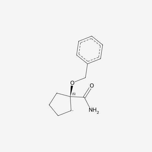 NC(=O)[C@]1(OCc2ccccc2)[CH]CCC1